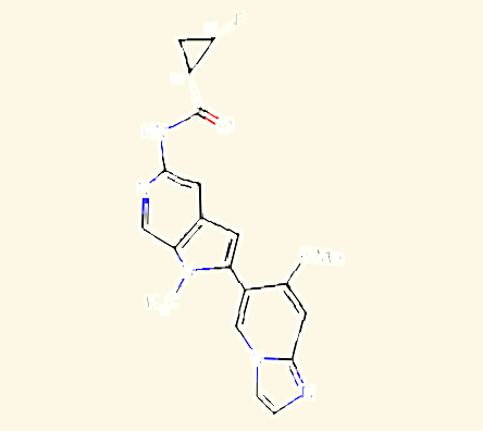 COc1cc2nccn2cc1-c1cc2cc(NC(=O)[C@@H]3C[C@@H]3F)ncc2n1C